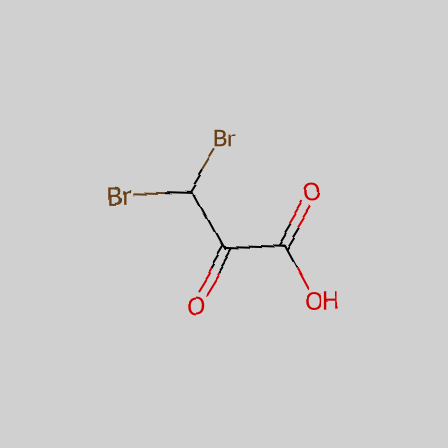 O=C(O)C(=O)C(Br)Br